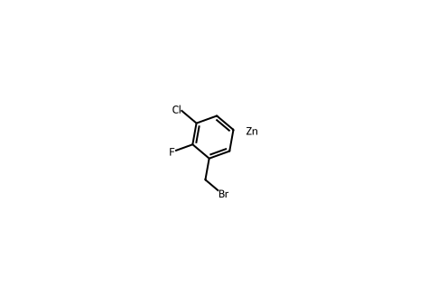 Fc1c(Cl)cccc1CBr.[Zn]